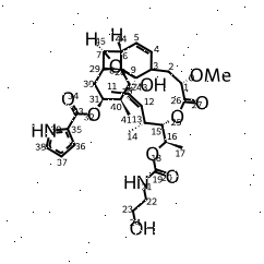 CO[C@H]1CC2C=C[C@H]3[C@H]4O[C@]2(/C(C)=C/[C@@H](C)[C@@H]([C@@H](C)OC(=O)NCCO)OC1=O)[C@@]31C4C[C@H](OC(=O)c2ccc[nH]2)[C@H](C)[C@H]1O